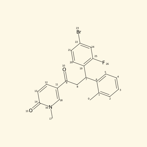 Cc1ccccc1C(CC(=O)c1ccc(=O)n(C)c1)c1ccc(Br)cc1F